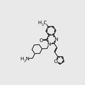 Cc1ccc2nc(C=Cc3ccco3)n(CC3CCCC(CN)C3)c(=O)c2c1